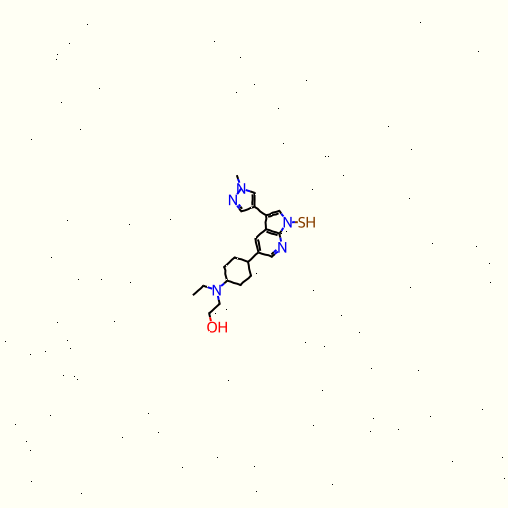 CCN(CCO)C1CCC(c2cnc3c(c2)c(-c2cnn(C)c2)cn3S)CC1